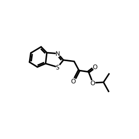 CC(C)OC(=O)C(=O)Cc1nc2ccccc2s1